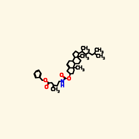 C=C(CCNC(=O)OC1CCC2(C)C(=CCC3C2CCC2(C)C(C(C)CCCC(C)C)CCC32)C1)CC(=O)OCc1ccccc1